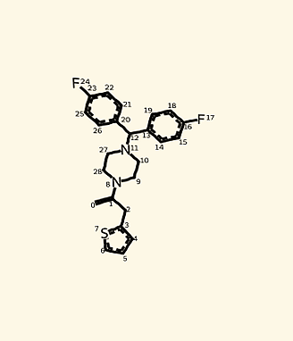 C=C(Cc1cccs1)N1CCN(C(c2ccc(F)cc2)c2ccc(F)cc2)CC1